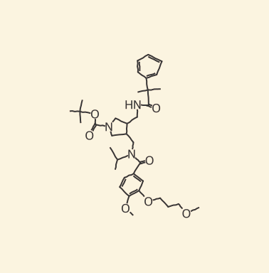 COCCCOc1cc(C(=O)N(CC2CN(C(=O)OC(C)(C)C)CC2CNC(=O)C(C)(C)c2ccccc2)C(C)C)ccc1OC